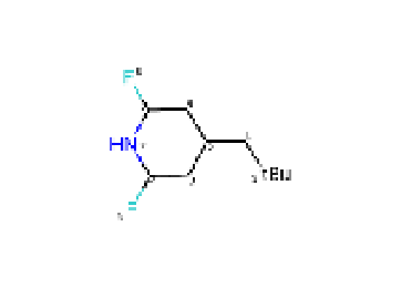 CC(C)(C)CC1CC(F)NC(F)C1